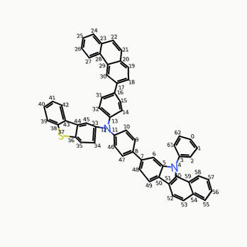 c1ccc(-n2c3cc(-c4ccc(N(c5ccc(-c6ccc7ccc8ccccc8c7c6)cc5)c5ccc6sc7ccccc7c6c5)cc4)ccc3c3ccc4ccccc4c32)cc1